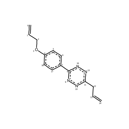 C=CCOc1ccc(-c2nnc(CC=C)nn2)cc1